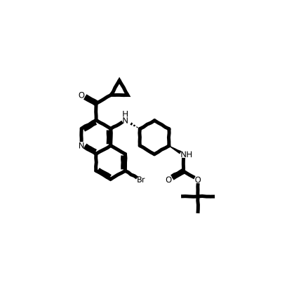 CC(C)(C)OC(=O)N[C@H]1CC[C@H](Nc2c(C(=O)C3CC3)cnc3ccc(Br)cc23)CC1